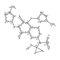 Cc1nnc(Cn2c(=O)n(Cc3cnn(C)c3)c(=O)c3cc(N([SH](=O)=O)C4(CF)CC4)ccc32)s1